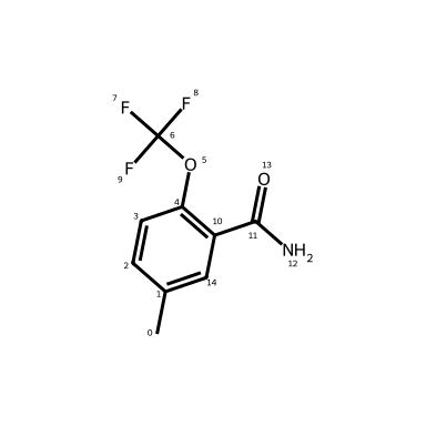 Cc1ccc(OC(F)(F)F)c(C(N)=O)c1